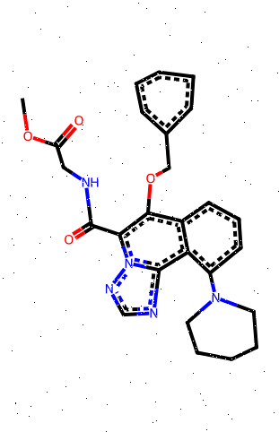 COC(=O)CNC(=O)c1c(OCc2ccccc2)c2cccc(N3CCCCC3)c2c2ncnn12